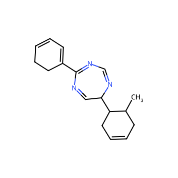 CC1CC=CCC1C1C=NC(C2=CC=CCC2)=NC=N1